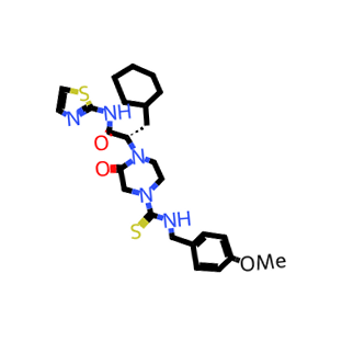 COc1ccc(CNC(=S)N2CCN([C@@H](CC3CCCCC3)C(=O)Nc3nccs3)C(=O)C2)cc1